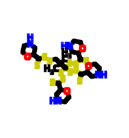 CC(C)(CSSC(=S)C1CNCCO1)C(SSC(=S)C1CNCCO1)(SSC(=S)C1CNCCO1)SSC(=S)C1CNCCO1